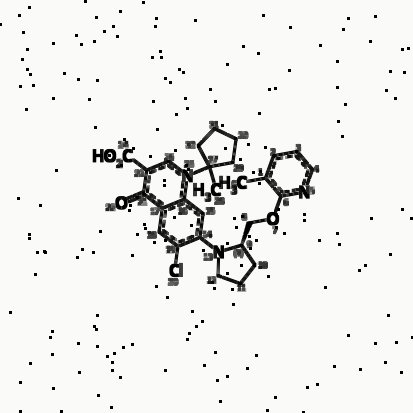 Cc1cccnc1OC[C@H]1CCCN1c1cc2c(cc1Cl)c(=O)c(C(=O)O)cn2C1(C)CCCC1